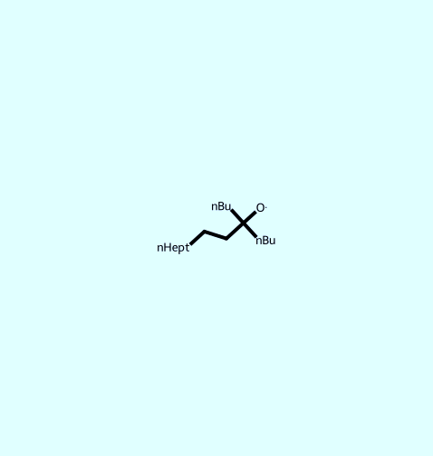 CCCCCCCCCC([O])(CCCC)CCCC